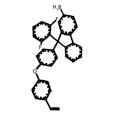 Bc1ccc2c(c1)C(c1ccc(Oc3ccc(C=C)cc3)cc1)(c1c(F)cccc1F)c1ccccc1-2